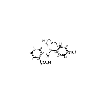 CS(=O)(=O)O.O.O=C(O)c1ccccc1OCc1ccc(Cl)cc1